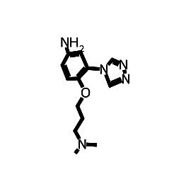 CN(C)CCCOc1ccc(N)cc1-n1cnnc1